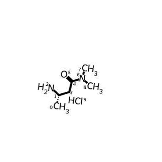 C[C@H](N)CC(=O)N(C)C.Cl